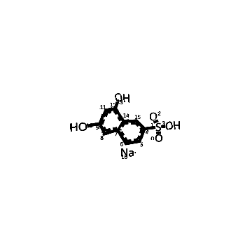 O=S(=O)(O)c1ccc2cc(O)cc(O)c2c1.[Na]